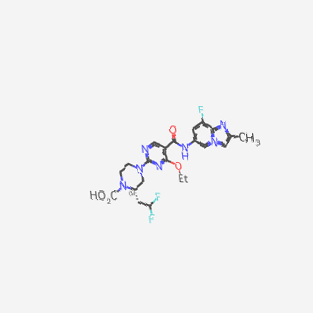 CCOc1nc(N2CCN(C(=O)O)[C@@H](CC(F)F)C2)ncc1C(=O)Nc1cc(F)c2nc(C)cn2c1